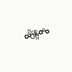 O=C(Nc1ccc(Oc2ccccc2)cc1)N1CCCc2c([nH]c3ccccc23)C1C(F)(F)F